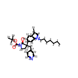 CCCCCCCn1cc(C)c2ccc(C3(Cc4ccncc4)CCN(C(=O)OC(C)(C)C)C3=O)cc21